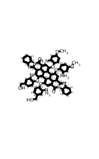 COc1ccc(Oc2cc3c(=O)n4c5ccccc5nc4c4cc(Oc5ccc(CO)cc5N)c5c6c(Oc7ccc(CO)cc7N)cc7c(=O)n8c9ccccc9nc8c8cc(Oc9ccc(OC)cc9N)c(c2c5c34)c6c78)c(N)c1